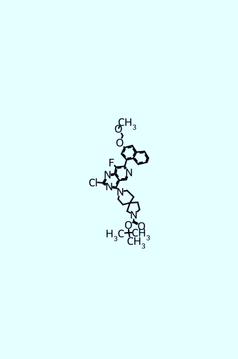 COCOc1cc(-c2ncc3c(N4CCC5(CCN(C(=O)OC(C)(C)C)C5)CC4)nc(Cl)nc3c2F)c2ccccc2c1